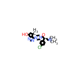 C[C@@H]1C[C@@H](O)c2ncnc(N3CCN(C(=O)[C@H](CCN(C)C)c4ccc(Cl)cc4)CC3)c21